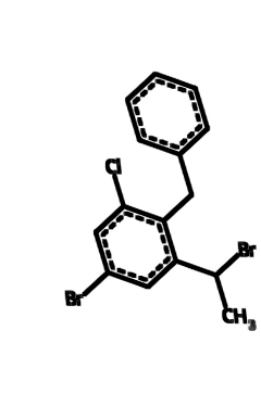 CC(Br)c1cc(Br)cc(Cl)c1Cc1ccccc1